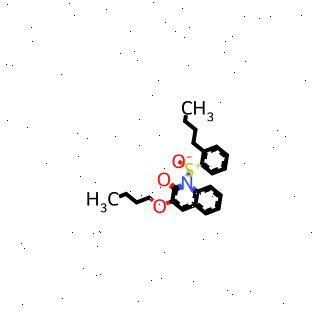 CCCCOc1cc2ccccc2n([S+]([O-])c2ccccc2CCCC)c1=O